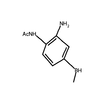 CBc1ccc(NC(C)=O)c(N)c1